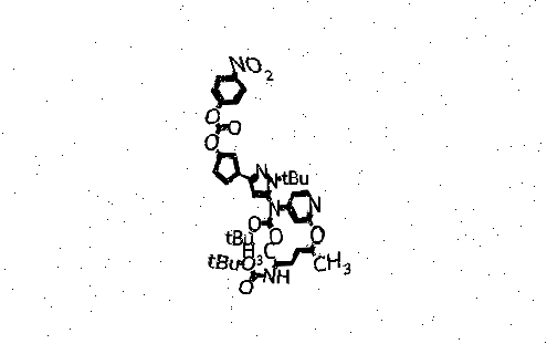 C[C@@H](CC[C@H](C)Oc1cc(N(C(=O)OC(C)(C)C)c2cc([C@H]3CC[C@@H](OC(=O)Oc4ccc([N+](=O)[O-])cc4)C3)nn2C(C)(C)C)ccn1)NC(=O)OC(C)(C)C